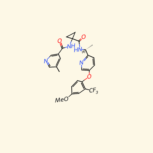 COc1ccc(Oc2ccc([C@@H](C)NC(=O)C3(NC(=O)c4cncc(C)c4)CC3)nc2)c(C(F)(F)F)c1